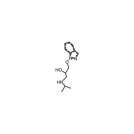 CC(C)NCC(O)COn1ncc2ccccc21